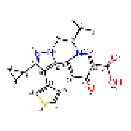 CC(C)[C@@H]1Cn2nc(C3CC3)c(-c3ccsc3)c2-c2cc(=O)c(C(=O)O)cn21